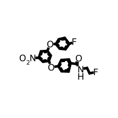 O=C(NCCF)c1ccc(Oc2cc(Oc3ccc(F)cc3)cc([N+](=O)[O-])c2)cc1